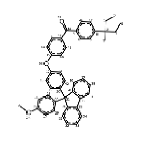 CCC(C)(CC)c1ccc(C(=O)c2ccc(Oc3ccc(C4(c5ccc(OC)cc5)c5ccccc5-c5ccccc54)cc3)cc2)cc1